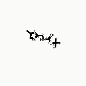 Cc1csc(CNC(=O)OC(C)(C)C)n1